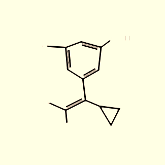 O=C(O)c1cc(C(=C(Cl)Cl)C2CC2)cc(C(F)(F)F)c1